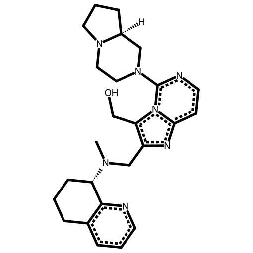 CN(Cc1nc2ccnc(N3CCN4CCC[C@H]4C3)n2c1CO)[C@H]1CCCc2cccnc21